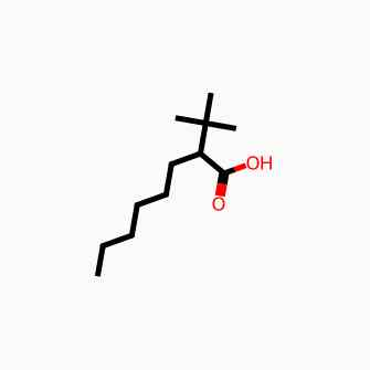 CCCCCCC(C(=O)O)C(C)(C)C